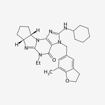 CCN1C(=O)c2c(nc(NC3CCCCC3)n2Cc2cc(C)c3c(c2)CCO3)N2C1=N[C@@H]1CCC[C@@H]12